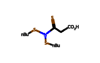 CCCCSN(SCCCC)C(=S)CC(=O)O